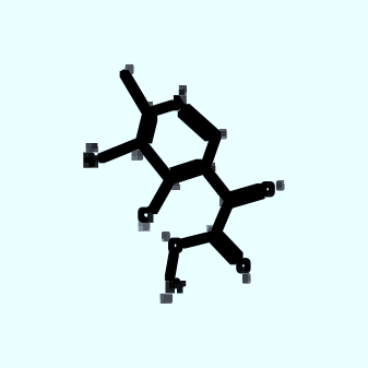 Cc1ncc(C(=O)C(=O)OC(C)C)c(Cl)c1Br